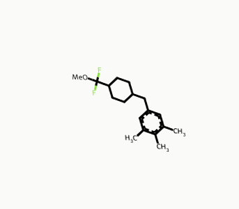 COC(F)(F)C1CCC(Cc2cc(C)c(C)c(C)c2)CC1